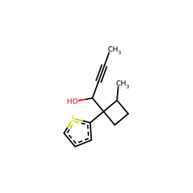 CC#CC(O)C1(c2cccs2)CCC1C